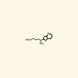 CCCCCCCCCCCCN(N)c1nc2cccnc2s1